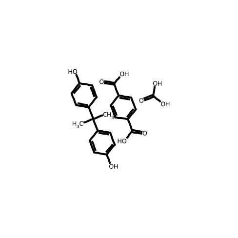 CC(C)(c1ccc(O)cc1)c1ccc(O)cc1.O=C(O)O.O=C(O)c1ccc(C(=O)O)cc1